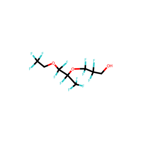 OCC(F)(F)C(F)(F)OC(F)(C(F)(F)F)C(F)(F)OCC(F)(F)F